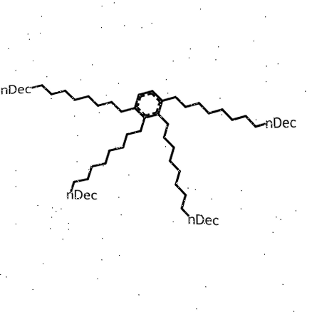 CCCCCCCCCCCCCCCCCCc1ccc(CCCCCCCCCCCCCCCCCC)c(CCCCCCCCCCCCCCCCCC)c1CCCCCCCCCCCCCCCCCC